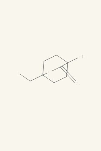 CC12CCC(CI)(CC1)OC2=O